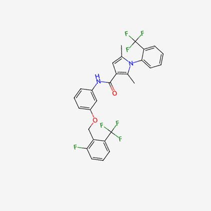 Cc1cc(C(=O)Nc2cccc(OCc3c(F)cccc3C(F)(F)F)c2)c(C)n1-c1ccccc1C(F)(F)F